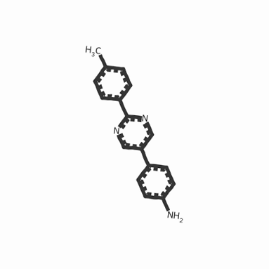 Cc1ccc(-c2ncc(-c3ccc(N)cc3)cn2)cc1